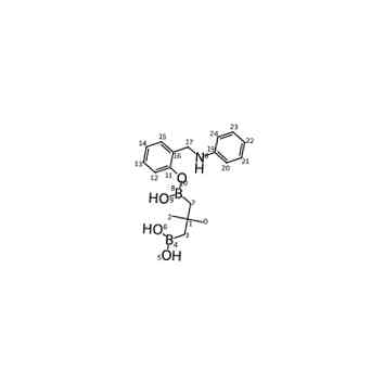 CC(C)(CB(O)O)CB(O)Oc1ccccc1CNc1ccccc1